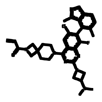 C=CC(=O)N1CC2(CCN(c3nc(N4CC(N(C)C)C4)nc4c(F)c(-c5c(C)ccc6cnn(C)c56)c(Cl)cc34)CC2)C1